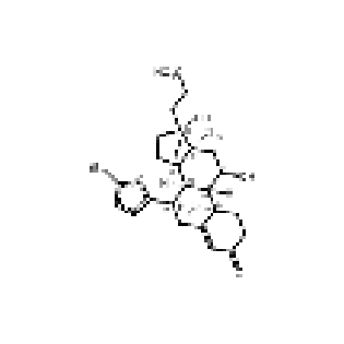 CC(C)(C)c1ccc([C@@H]2CC3=CC(=O)CC[C@]3(C)[C@@H]3[C@@H]2[C@@H]2CC[C@@](O)(CCC(=O)O)[C@@]2(C)C[C@H]3O)o1